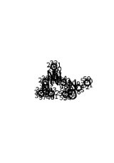 c1ccc(-c2ccc3c(c2)nc(-c2ccc(-c4nc(-c5ccccc5)nc(-c5cccc(-n6c7ccccc7c7ccccc76)c5)n4)cc2)c2c4ccccc4oc32)cc1